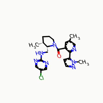 Cc1cnc(-c2ccnn2C)c(C(=O)N2CCC[C@@H](C)[C@H]2CNc2ncc(Cl)cn2)c1